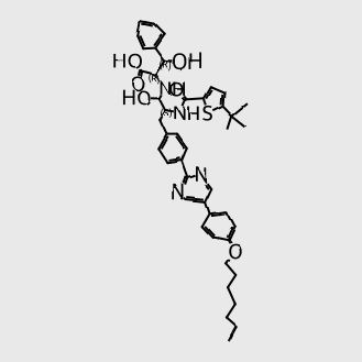 CCCCCCCOc1ccc(-c2cnc(-c3ccc(C[C@H](NC(=O)c4ccc(C(C)(C)C)s4)C(O)N[C@@H](C(=O)O)[C@H](O)c4ccccc4)cc3)nc2)cc1